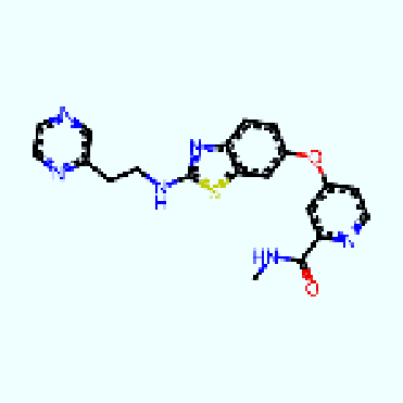 CNC(=O)c1cc(Oc2ccc3nc(NCCc4cnccn4)sc3c2)ccn1